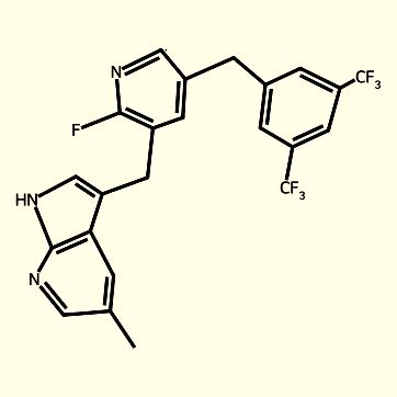 Cc1cnc2[nH]cc(Cc3cc(Cc4cc(C(F)(F)F)cc(C(F)(F)F)c4)[c]nc3F)c2c1